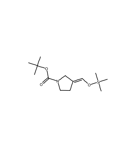 CC(C)(C)OC(=O)N1CCC(=CO[Si](C)(C)C)C1